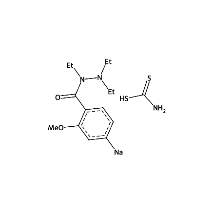 CCN(CC)N(CC)C(=O)c1cc[c]([Na])cc1OC.NC(=S)S